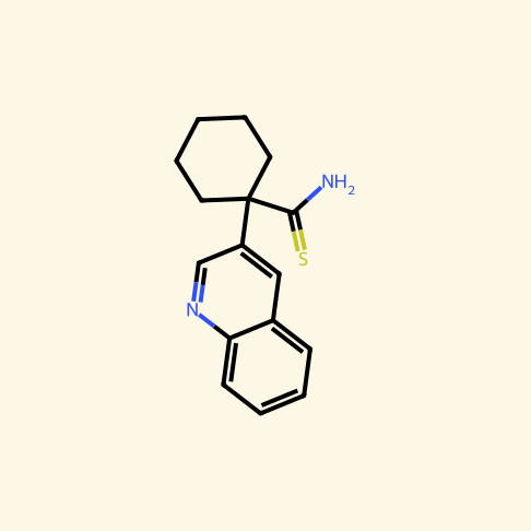 NC(=S)C1(c2cnc3ccccc3c2)CCCCC1